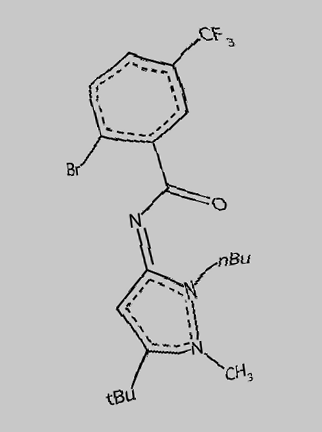 CCCCn1c(=NC(=O)c2cc(C(F)(F)F)ccc2Br)cc(C(C)(C)C)n1C